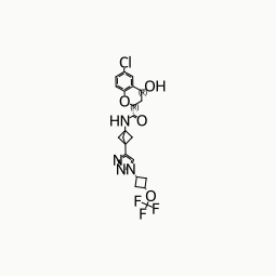 O=C(NC12CC(c3cn([C@H]4C[C@@H](OC(F)(F)F)C4)nn3)(C1)C2)[C@H]1C[C@@H](O)c2cc(Cl)ccc2O1